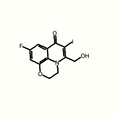 O=c1c(I)c(CO)n2c3c(cc(F)cc13)OCC2